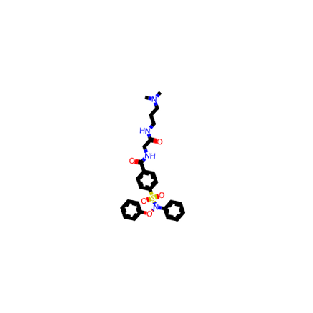 CN(C)CCCNC(=O)CNC(=O)c1ccc(S(=O)(=O)N(Oc2ccccc2)c2ccccc2)cc1